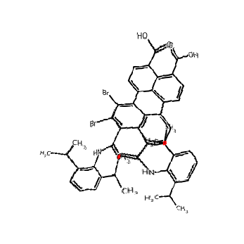 CC(C)c1cccc(C(C)C)c1NC(=O)c1ccc2c3ccc(C(=O)O)c4c(C(=O)O)ccc(c5c(Br)c(Br)c(C(=O)Nc6c(C(C)C)cccc6C(C)C)c1c25)c43